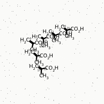 C=C(C)C(=O)O.C=C(C)C(=O)O.C=C(C)C(=O)O.C=C(C)C(=O)O.C=C(C)C(=O)O.C=C(C)C(=O)O